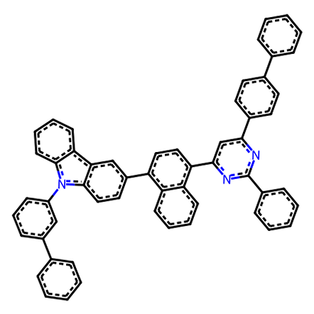 c1ccc(-c2ccc(-c3cc(-c4ccc(-c5ccc6c(c5)c5ccccc5n6-c5cccc(-c6ccccc6)c5)c5ccccc45)nc(-c4ccccc4)n3)cc2)cc1